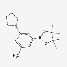 CC1(C)OB(c2cc(N3CCCC3)nc(C(F)(F)F)c2)OC1(C)C